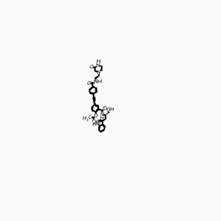 CC(C)Oc1ccc(C#Cc2ccc(C(=O)NCCN3CCNC(=O)C3)cc2)cc1C(=O)N[C@@H](CO)Cc1c[nH]c2ccccc12